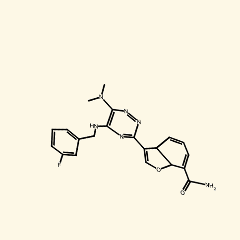 CN(C)c1nnc(C2=COC3C(C(N)=O)=CC=CC23)nc1NCc1cccc(F)c1